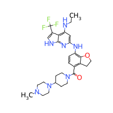 CCNc1cc(Nc2ccc(C(=O)N3CCC(N4CCN(C)CC4)CC3)c3c2OCC3)nc2[nH]cc(C(F)(F)F)c12